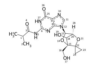 CC(C)C(=O)Nc1nc2c(ncn2[C@@H]2O[C@]3(CO)C(O)[C@@H]2OC32CC2)c(=O)[nH]1